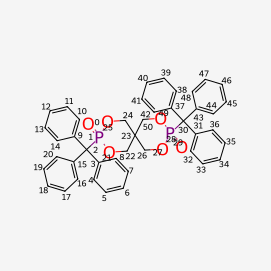 O=P1(C(c2ccccc2)(c2ccccc2)c2ccccc2)OCC2(CO1)COP(=O)(C(c1ccccc1)(c1ccccc1)c1ccccc1)OC2